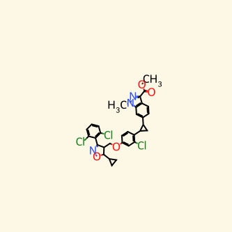 COC(=O)c1nn(C)c2cc(C3CC3c3ccc(OCC4C(c5c(Cl)cccc5Cl)=NOC4C4CC4)cc3Cl)ccc12